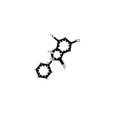 O=c1c2cc(Cl)cc(F)c2sn1-c1ccccc1